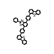 c1ccc(-c2nc3c(-c4ccc(-c5cccc6c5sc5ccccc56)cc4)ccc(-c4ccc(-c5cccc6c5sc5ccccc56)cc4)c3s2)cc1